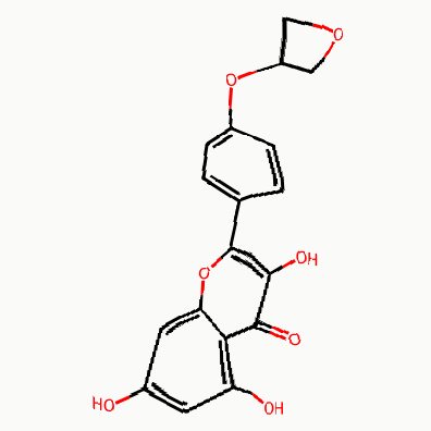 O=c1c(O)c(-c2ccc(OC3COC3)cc2)oc2cc(O)cc(O)c12